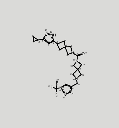 O=C(N1CC2(CC(c3cc(C4CC4)n[nH]3)C2)C1)N1CC2(CN(Cc3cnn(C(F)(F)F)c3)C2)C1